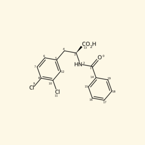 O=C(N[C@@H](Cc1ccc(Cl)c(Cl)c1)C(=O)O)c1ccccc1